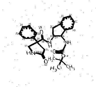 CC(C)(C)OC(=O)NC1c2ccccc2C[C@@H]1NC(=O)C1(c2ccccc2)CNC(=O)C1